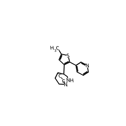 Cc1cc(C2CNN3CCC2CC3)c(-c2cccnc2)s1